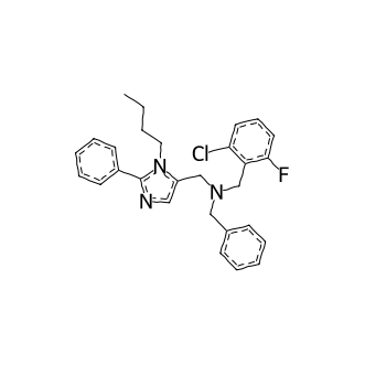 CCCCn1c(CN(Cc2ccccc2)Cc2c(F)cccc2Cl)cnc1-c1ccccc1